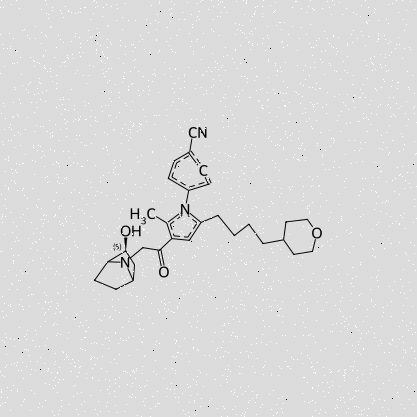 Cc1c(C(=O)CN2C3CCC2[C@@H](O)C3)cc(CCCCC2CCOCC2)n1-c1ccc(C#N)cc1